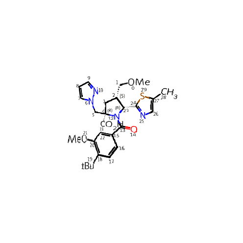 COC[C@H]1C[C@@](Cn2cccn2)(C(=O)O)N(C(=O)c2ccc(C(C)(C)C)c(OC)c2)[C@H]1c1ncc(C)s1